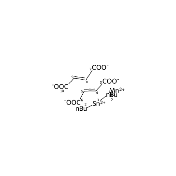 CCC[CH2][Sn+2][CH2]CCC.O=C([O-])C=CC(=O)[O-].O=C([O-])C=CC(=O)[O-].[Mn+2]